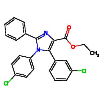 CCOC(=O)c1nc(-c2ccccc2)n(-c2ccc(Cl)cc2)c1-c1cccc(Cl)c1